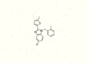 Cc1ccc(-c2nc3cc(F)ccc3n2Cc2ccccc2C)s1